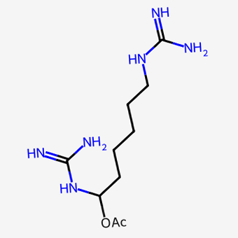 CC(=O)OC(CCCCCNC(=N)N)NC(=N)N